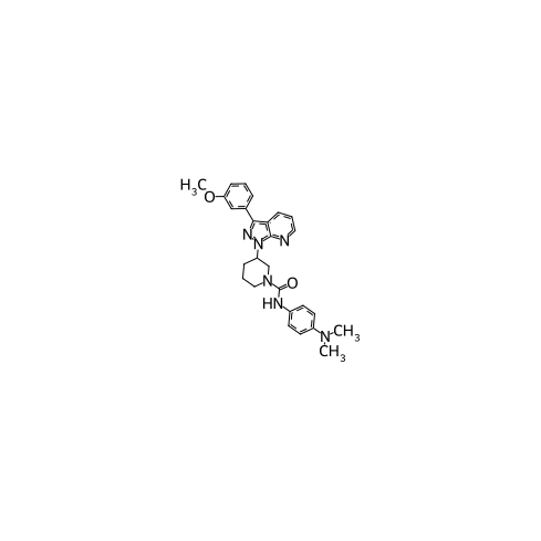 COc1cccc(-c2nn(C3CCCN(C(=O)Nc4ccc(N(C)C)cc4)C3)c3ncccc23)c1